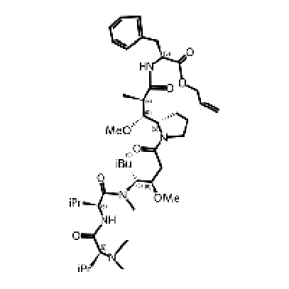 C=CCOC(=O)[C@H](Cc1ccccc1)NC(=O)[C@H](C)[C@@H](OC)[C@@H]1CCCN1C(=O)C[C@@H](OC)[C@H]([C@@H](C)CC)N(C)C(=O)[C@@H](NC(=O)[C@H](C(C)C)N(C)C)C(C)C